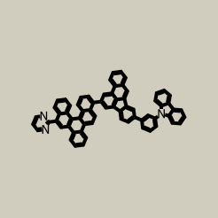 c1cnc(-c2cc3c4ccccc4c4ccc5c(-c6cc7c8c(cc9ccccc9c8c6)-c6cc(-c8cccc(-n9c%10ccccc%10c%10ccccc%109)c8)ccc6-7)cccc5c4c3c3ccccc23)nc1